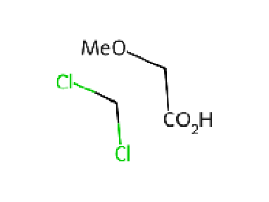 COCC(=O)O.ClCCl